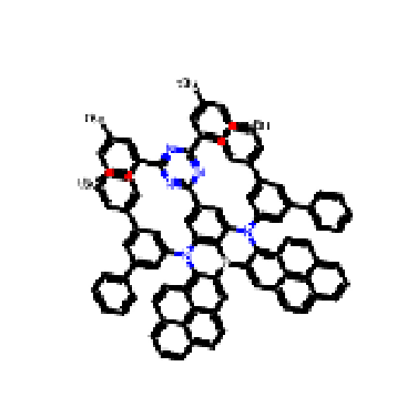 CC(C)(C)c1cc(-c2nc(-c3cc(C(C)(C)C)cc(C(C)(C)C)c3)nc(-c3cc4c5c(c3)N(c3cc(-c6ccccc6)cc(-c6ccccc6)c3)c3c(cc6ccc7cccc8ccc3c6c78)B5c3cc5ccc6cccc7ccc(c3N4c3cc(-c4ccccc4)cc(-c4ccccc4)c3)c5c67)n2)cc(C(C)(C)C)c1